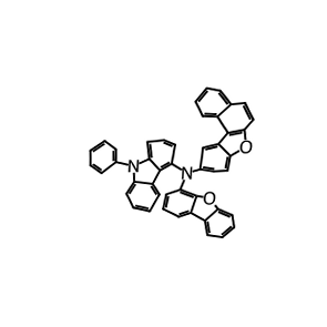 c1ccc(-n2c3ccccc3c3c(N(c4ccc5oc6ccc7ccccc7c6c5c4)c4cccc5c4oc4ccccc45)cccc32)cc1